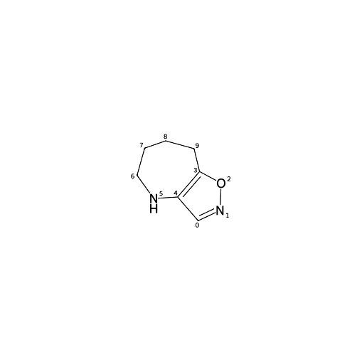 c1noc2c1NCCCC2